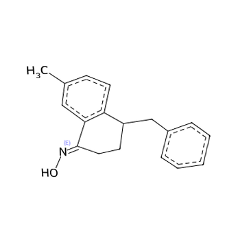 Cc1ccc2c(c1)/C(=N/O)CCC2Cc1ccccc1